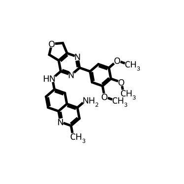 COc1cc(-c2nc3c(c(Nc4ccc5nc(C)cc(N)c5c4)n2)COC3)cc(OC)c1OC